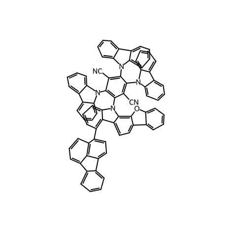 N#Cc1c(-n2c3ccccc3c3ccccc32)c(-n2c3ccccc3c3ccccc32)c(C#N)c(-n2c3cccc(-c4ccc5c6c(cccc46)-c4ccccc4-5)c3c3ccc4c5ccccc5oc4c32)c1-n1c2ccccc2c2ccccc21